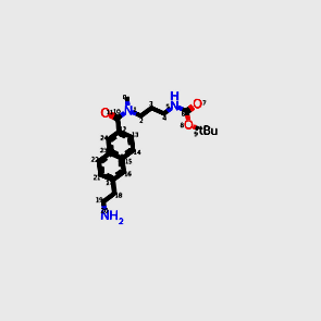 CN(CCCNC(=O)OC(C)(C)C)C(=O)c1ccc2cc(CCN)ccc2c1